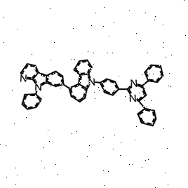 c1ccc(-c2cc(-c3ccccc3)nc(-c3ccc(-n4c5ccccc5c5c(-c6ccc7c8cccnc8n(-c8ccccc8)c7c6)cccc54)cc3)n2)cc1